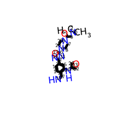 CN(C)CC(=O)N1CCN(c2nc(-c3ccc(C=N)c(NC4COC4)c3)no2)CC1